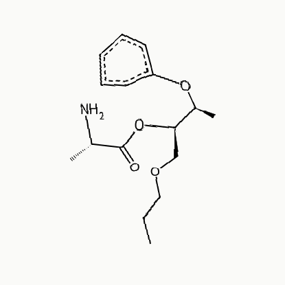 CCCOC[C@@H](OC(=O)[C@H](C)N)[C@H](C)Oc1ccccc1